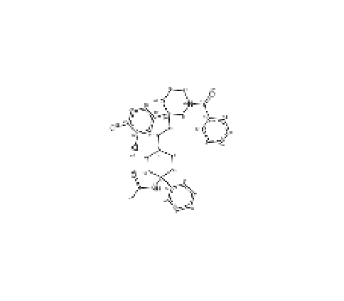 CC(=O)NC1(c2ccccc2)CCN(CCC2(c3ccc(Cl)c(Cl)c3)CN(C(=O)c3ccccc3)CCO2)CC1